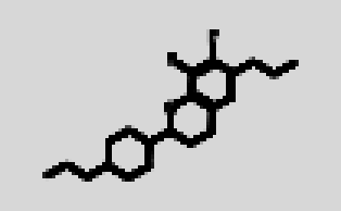 CCCc1cc2c(c(F)c1F)OC(C1CCC(CCC)CC1)CC2